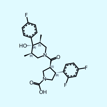 C[C@@H]1CN(C(=O)[C@@H]2CN(C(=O)O)C[C@H]2c2ccc(F)cc2F)C[C@H](C)[C@]1(O)c1ccc(F)cc1